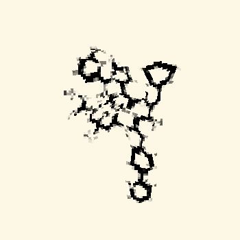 COC(=O)NCC(C)(C)CC(=O)NC(Cc1ccc(-c2ccccn2)cc1)CC(O)C(Cc1ccccc1)NC(=O)[C@H](C1CNC(=O)N1Cc1cccc(C)n1)C(C)(C)C